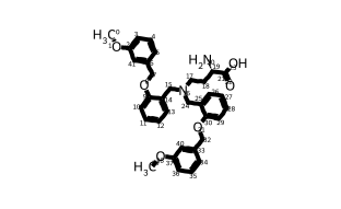 COc1cccc(COc2ccccc2CN(CC[C@H](N)C(=O)O)Cc2ccccc2OCc2cccc(OC)c2)c1